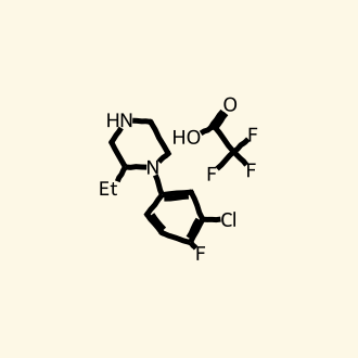 CCC1CNCCN1c1ccc(F)c(Cl)c1.O=C(O)C(F)(F)F